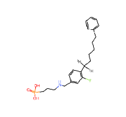 [2H]C([2H])(CCCCCc1ccccc1)c1ccc(CNCCCP(=O)(O)O)cc1F